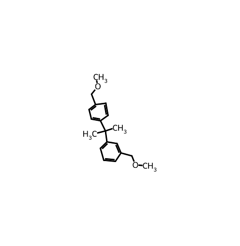 COCc1ccc(C(C)(C)c2cccc(COC)c2)cc1